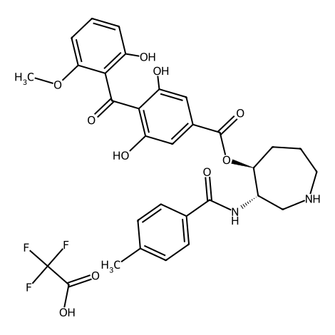 COc1cccc(O)c1C(=O)c1c(O)cc(C(=O)O[C@H]2CCCNC[C@@H]2NC(=O)c2ccc(C)cc2)cc1O.O=C(O)C(F)(F)F